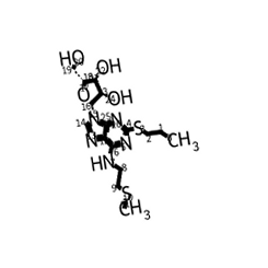 CCCSc1nc(NCCSC)c2ncn([C@@H]3O[C@H](CO)[C@@H](O)[C@H]3O)c2n1